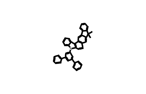 CC1(C)c2ccccc2-c2cc3c(ccc4c3c3ccccc3n4-c3cc(-c4ccccc4)cc(-c4ccccc4)c3)cc21